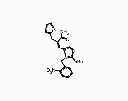 CCCCc1ncc(C=C(Cc2cccs2)C(N)=O)n1Cc1ccccc1[N+](=O)[O-]